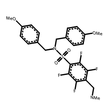 CNCc1c(F)c(F)c(S(=O)(=O)N(Cc2ccc(OC)cc2)Cc2ccc(OC)cc2)c(F)c1F